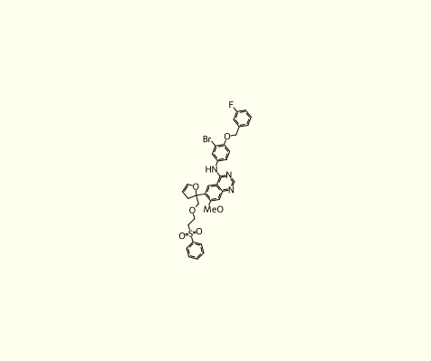 COc1cc2ncnc(Nc3ccc(OCc4cccc(F)c4)c(Br)c3)c2cc1C1(COCCS(=O)(=O)c2ccccc2)CC=CO1